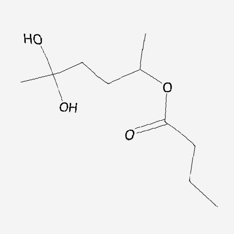 CCCC(=O)OC(C)CCC(C)(O)O